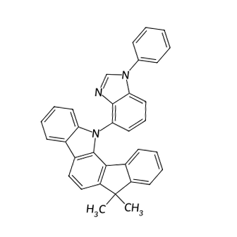 CC1(C)c2ccccc2-c2c1ccc1c3ccccc3n(-c3cccc4c3ncn4-c3ccccc3)c21